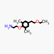 CCOCCc1cc(C)c(OCCN)c(C)c1